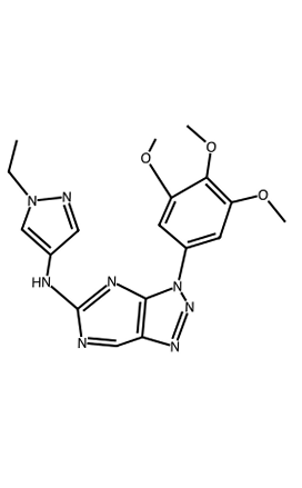 CCn1cc(Nc2ncc3nnn(-c4cc(OC)c(OC)c(OC)c4)c3n2)cn1